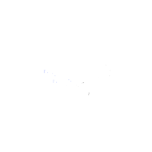 CC[C@@H](C[C@H]1COC(NN=N)=N1)Oc1ccc(Cl)cc1